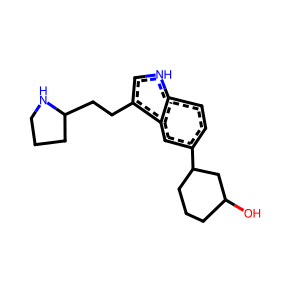 OC1CCCC(c2ccc3[nH]cc(CCC4CCCN4)c3c2)C1